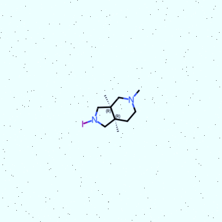 CN1CC[C@@]2(C)CN(I)C[C@@]2(C)C1